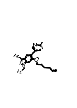 C=CCCCCOc1cc2c(cc1-c1cnc(C)nc1)c(C(C)=O)nn2CC(C)=O